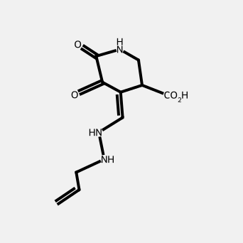 C=CCNNC=C1C(=O)C(=O)NCC1C(=O)O